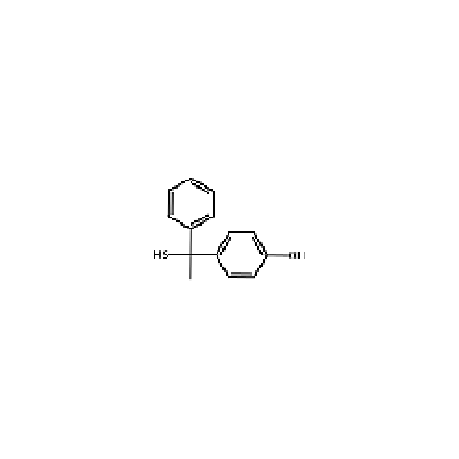 CC(S)(c1ccccc1)c1ccc(O)cc1